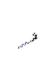 CC/C=C\C/C=C\C/C=C\C/C=C\C/C=C\C/C=C\CCC(=O)NCCN(C[C@@H]1CC[C@H](n2cnc3c(=O)nc[nH]c32)O1)C(=O)O